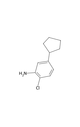 Nc1cc(C2CCCC2)ccc1Cl